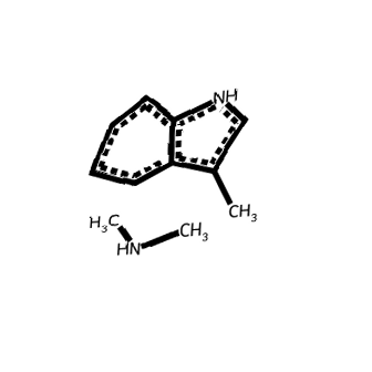 CNC.Cc1c[nH]c2ccccc12